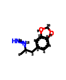 CC(Cc1ccc2c(c1)OCO2)N=N